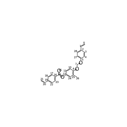 C=Cc1ccc(OCOc2ccc(OC(=O)c3ccc(C=C)cc3)cc2C)cc1